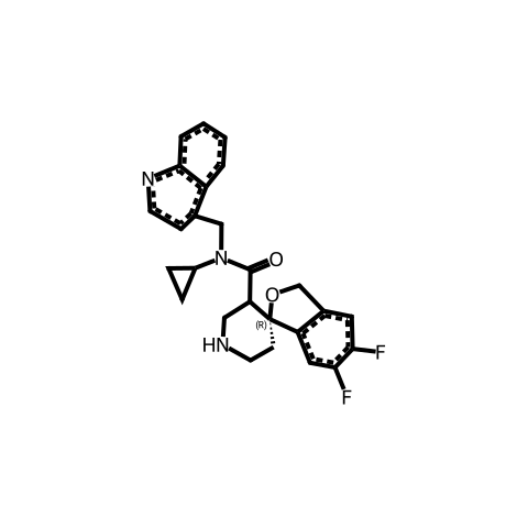 O=C(C1CNCC[C@@]12OCc1cc(F)c(F)cc12)N(Cc1ccnc2ccccc12)C1CC1